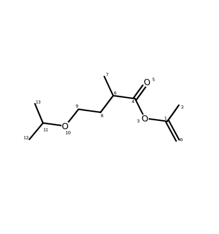 C=C(C)OC(=O)C(C)CCOC(C)C